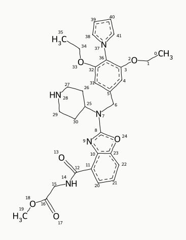 CCOc1cc(CN(c2nc3c(C(=O)NCC(=O)OC)cccc3o2)C2CCNCC2)cc(OCC)c1-n1cccc1